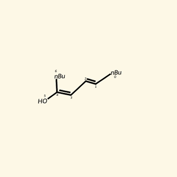 CCCCC=C/C=C(/O)CCCC